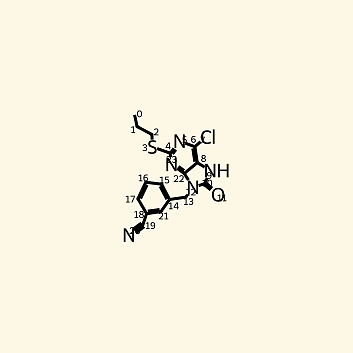 CCCSc1nc(Cl)c2[nH]c(=O)n(Cc3cccc(C#N)c3)c2n1